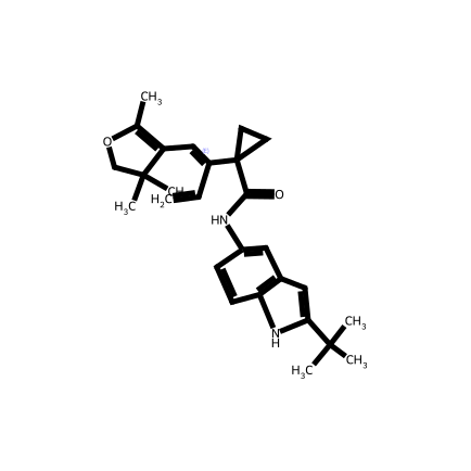 C=C/C(=C\C1=C(C)OCC1(C)C)C1(C(=O)Nc2ccc3[nH]c(C(C)(C)C)cc3c2)CC1